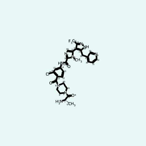 C[C@H](N)C(=O)N1CCN(C(=O)c2ccc(NC(=O)c3ncc(-c4c(C(F)(F)F)n[nH]c4Cc4cccnc4)n3C)cc2Cl)CC1